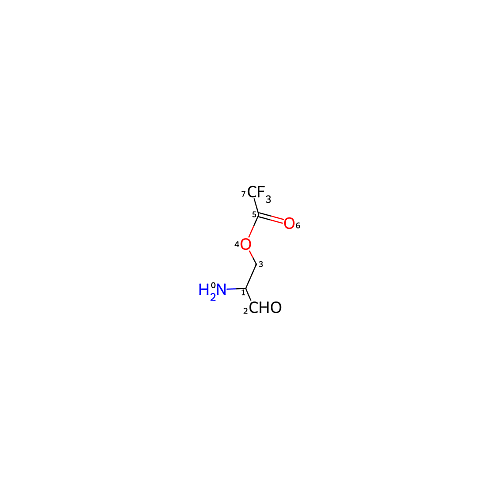 NC(C=O)COC(=O)C(F)(F)F